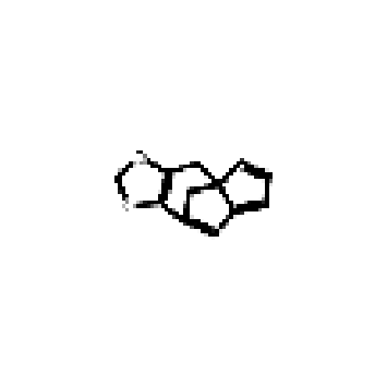 C1=CC23CC(=CC2=C1)C1=C(C3)OCO1